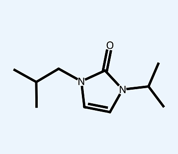 CC(C)Cn1ccn(C(C)C)c1=O